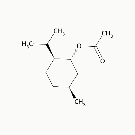 CC(=O)O[C@@H]1C[C@@H](C)CC[C@H]1C(C)C